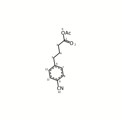 CC(=O)OC(=O)CCCc1ccc(C#N)cc1